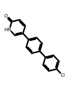 O=c1ccc(-c2c[c]c(-c3ccc(Cl)cc3)cc2)c[nH]1